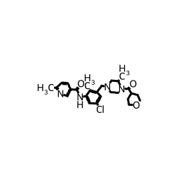 Cc1ccc(C(=O)Nc2cc(Cl)cc(CN3CCN(C(=O)C4CCOCC4)C(C)C3)c2C)cn1